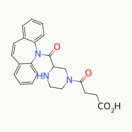 O=C(O)CCC(=O)N1CCNC(C(=O)N2c3ccccc3C=Cc3ccccc32)C1